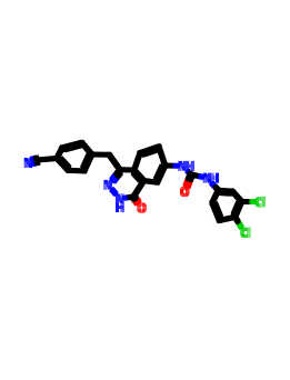 N#Cc1ccc(Cc2n[nH]c(=O)c3cc(NC(=O)Nc4ccc(Cl)c(Cl)c4)ccc23)cc1